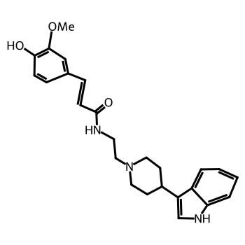 COc1cc(/C=C/C(=O)NCCN2CCC(c3c[nH]c4ccccc34)CC2)ccc1O